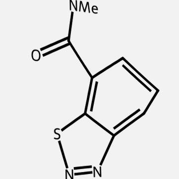 [CH2]NC(=O)c1cccc2nnsc12